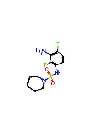 Nc1c(F)ccc(NS(=O)(=O)N2CCCCC2)c1F